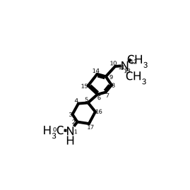 CNC1CCC(c2ccc(CN(C)C)cc2)CC1